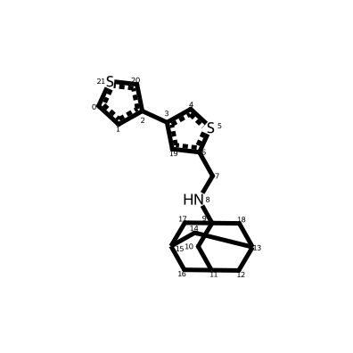 c1cc(-c2csc(CNC34CC5CC(CC(C5)C3)C4)c2)cs1